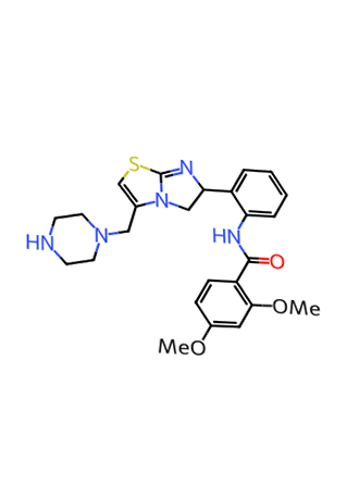 COc1ccc(C(=O)Nc2ccccc2C2CN3C(CN4CCNCC4)=CSC3=N2)c(OC)c1